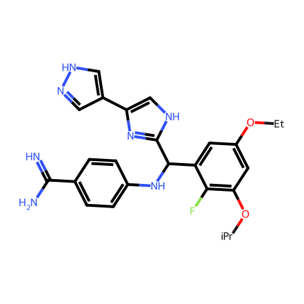 CCOc1cc(OC(C)C)c(F)c(C(Nc2ccc(C(=N)N)cc2)c2nc(-c3cn[nH]c3)c[nH]2)c1